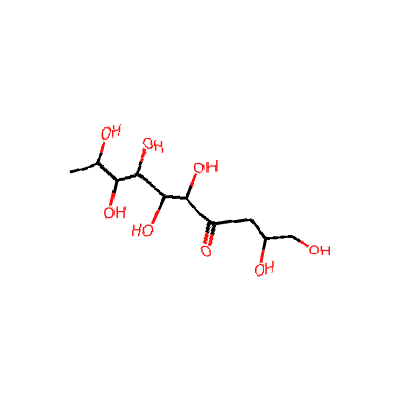 CC(O)C(O)C(O)C(O)C(O)C(=O)CC(O)CO